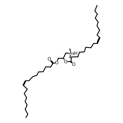 CCCCCCCC/C=C\CCCCCCCC(=O)OCC(C[AsH](C)(C)C)OC(=O)CCCCCCC/C=C\CCCCCCCC